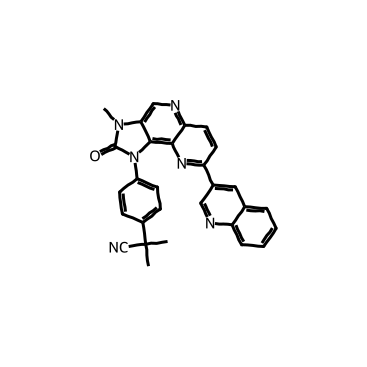 Cn1c(=O)n(-c2ccc(C(C)(C)C#N)cc2)c2c3nc(-c4cnc5ccccc5c4)ccc3ncc21